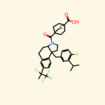 CC(C)c1cc(CC23CCN(C(=O)C45CCC(C(=O)O)(CC4)CC5)C2CCc2cc(C(C)(F)C(F)(F)F)ccc23)ccc1F